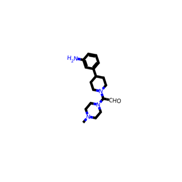 CN1CCN(C(C=O)N2CCC(c3cccc(N)c3)CC2)CC1